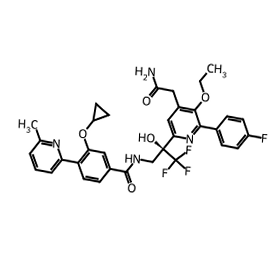 CCOc1c(CC(N)=O)cc([C@@](O)(CNC(=O)c2ccc(-c3cccc(C)n3)c(OC3CC3)c2)C(F)(F)F)nc1-c1ccc(F)cc1